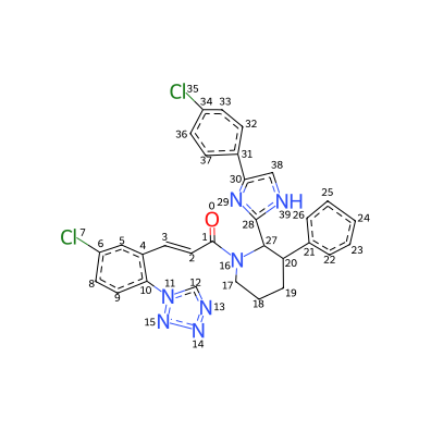 O=C(/C=C/c1cc(Cl)ccc1-n1cnnn1)N1CCCC(c2ccccc2)C1c1nc(-c2ccc(Cl)cc2)c[nH]1